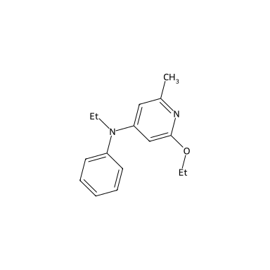 CCOc1cc(N(CC)c2ccccc2)cc(C)n1